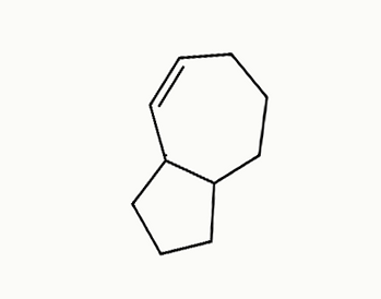 C1=C[C]2CCCC2CCC1